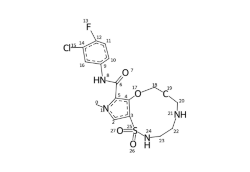 Cn1cc2c(c1C(=O)Nc1ccc(F)c(Cl)c1)OCCCNCCNS2(=O)=O